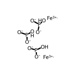 [Fe+3].[Fe+3].[O-]P([O-])O.[O-]P([O-])O.[O-]P([O-])O